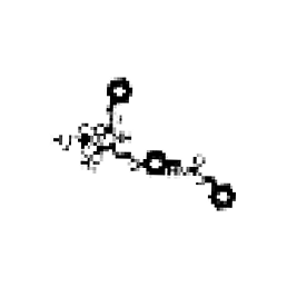 CC(C)(C)OC(=O)[C@H](CCOc1ccc(CNC(=O)OCc2ccccc2)cc1)NC(=O)OCc1ccccc1